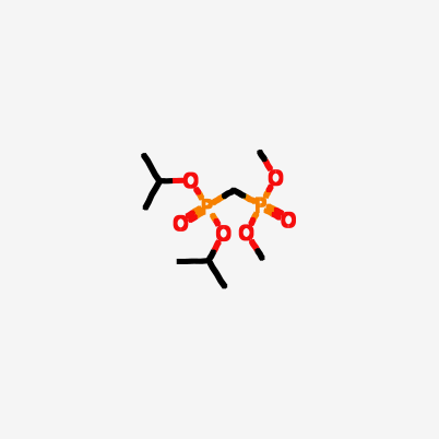 COP(=O)(CP(=O)(OC(C)C)OC(C)C)OC